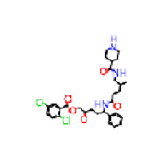 CC(CCC(=O)NC(CCC(=O)COC(=O)c1cc(Cl)ccc1Cl)c1ccccc1)CNC(=O)C1CCNCC1